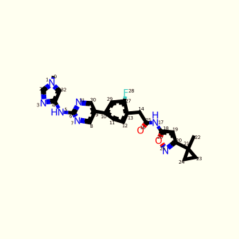 Cn1cnc(Nc2ncc(-c3ccc(CC(=O)Nc4cc(C5(C)CC5)no4)c(F)c3)cn2)c1